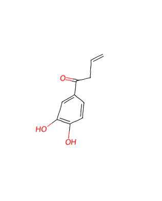 C=CCC(=O)c1ccc(O)c(O)c1